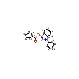 O=C(Oc1cn(-c2ccc(F)cc2)c2ccccc12)c1ccccc1